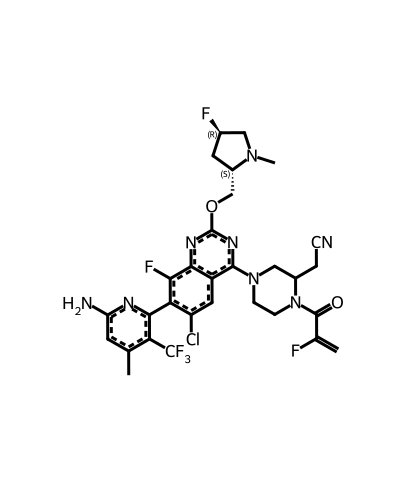 C=C(F)C(=O)N1CCN(c2nc(OC[C@@H]3C[C@@H](F)CN3C)nc3c(F)c(-c4nc(N)cc(C)c4C(F)(F)F)c(Cl)cc23)CC1CC#N